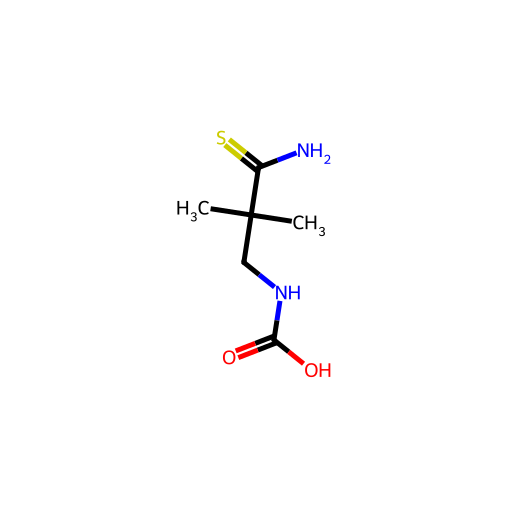 CC(C)(CNC(=O)O)C(N)=S